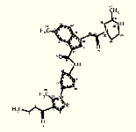 CCCC(=O)c1cnn(-c2ccc(NC(=O)c3cn(CC(=O)N4CCNC(C)C4)c4ccc(C)cc34)cc2)c1C